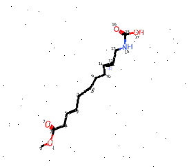 COC(=O)CCCCCCC/C=C/CNC(=O)O